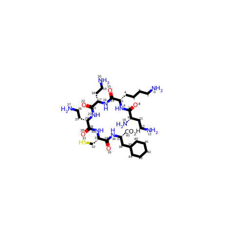 NCCCC[C@H](NC(=O)[C@@H](N)CCN)C(=O)N[C@@H](CCN)C(=O)N[C@@H](CCN)C(=O)N[C@@H](CS)C(=O)N[C@@H](CC1CCCCC1)C(=O)O